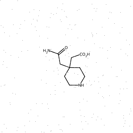 NC(=O)CC1(CC(=O)O)CCNCC1